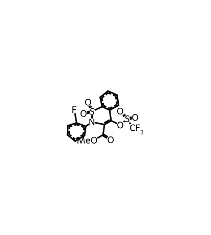 COC(=O)C1=C(OS(=O)(=O)C(F)(F)F)c2ccccc2S(=O)(=O)N1c1ccccc1F